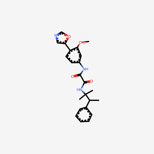 COc1cc(NC(=O)C(=O)NC(C)(C)C(C)c2ccccc2)ccc1-c1cnco1